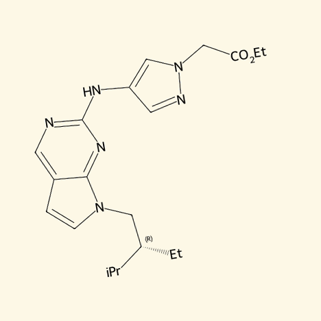 CCOC(=O)Cn1cc(Nc2ncc3ccn(C[C@H](CC)C(C)C)c3n2)cn1